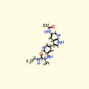 CCC(=O)Nc1cnc2[nH]cc(-c3cncc(NC(C(=O)NCC(F)(F)F)C(C)C)c3)c2c1